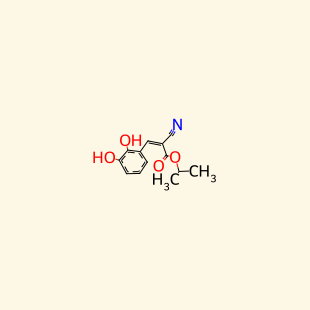 CC(C)OC(=O)C(C#N)=Cc1cccc(O)c1O